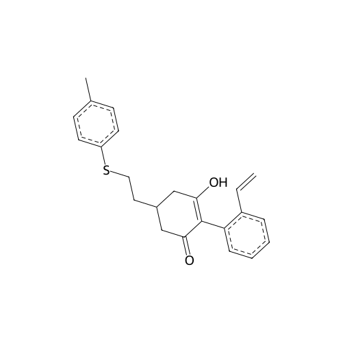 C=Cc1ccccc1C1=C(O)CC(CCSc2ccc(C)cc2)CC1=O